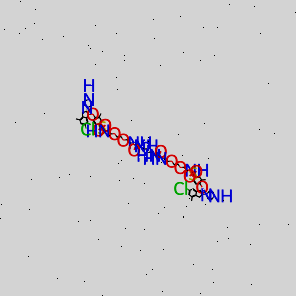 Cc1cc(S(=O)(=O)NCCOCCOCCNC(=O)NCCCCNC(=O)NCCOCCOCCNS(=O)(=O)c2ccc(O[C@H]3c4cc(Cl)cc(C)c4C[C@@H]3N3CCNCC3)c(C)c2)ccc1O[C@H]1c2cc(Cl)cc(C)c2C[C@@H]1N1CCNCC1